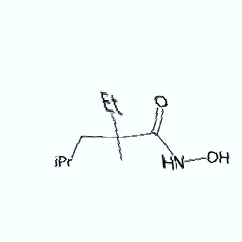 CCC(C)(CC(C)C)C(=O)NO